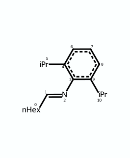 CCCCCCC=Nc1c(C(C)C)cccc1C(C)C